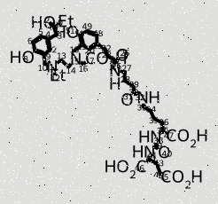 CC[C@H](O)Cc1ccc(O)c(CN(CC)CCN(CC(=O)O)Cc2cc(CCC(=O)NCCCC(=O)NCCCC[C@H](NC(=O)N[C@@H](CCC(=O)O)C(=O)O)C(=O)O)ccc2O)c1